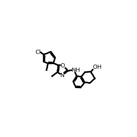 Cc1cc(Cl)ccc1-c1oc(Nc2cccc3c2CC(O)CC3)nc1C